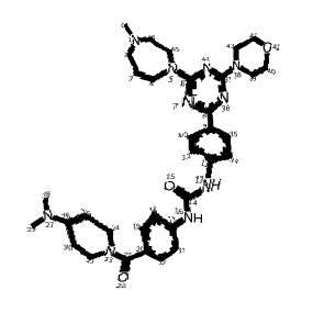 CN1CCCN(c2nc(-c3ccc(NC(=O)Nc4ccc(C(=O)N5CCC(N(C)C)CC5)cc4)cc3)nc(N3CCOCC3)n2)CC1